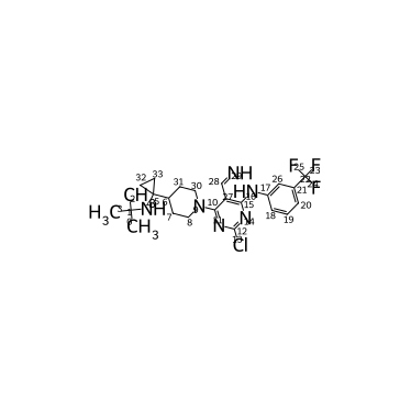 CC(C)(C)NC1(C2CCN(c3nc(Cl)nc(Nc4cccc(C(F)(F)F)c4)c3C=N)CC2)CC1